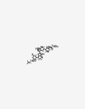 CN(C)CCNc1cc(F)cc(-c2ccnc3[nH]c(-c4n[nH]c5ncc(-c6cncc(NC(=O)CC(C)(C)C)c6)cc45)cc23)c1